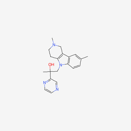 Cc1ccc2c(c1)c1c(n2CC(C)(O)c2cnccn2)CCN(C)C1